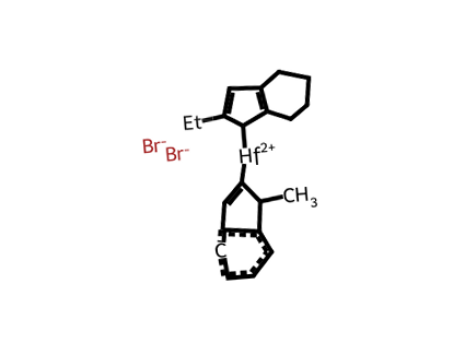 CCC1=CC2=C(CCCC2)[CH]1[Hf+2][C]1=Cc2ccccc2C1C.[Br-].[Br-]